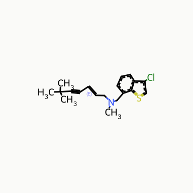 CN(C/C=C/C#CC(C)(C)C)Cc1cccc2c(Cl)csc12